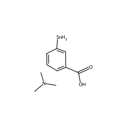 CN(C)C.O=C(O)c1ccc[c]([SnH3])c1